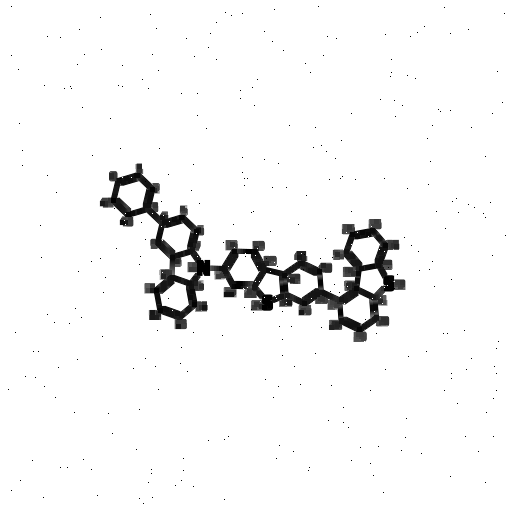 c1ccc(-c2ccc3c(c2)c2ccccc2n3-c2ccc3c(c2)sc2cc(-c4cccc5sc6ccccc6c45)ccc23)cc1